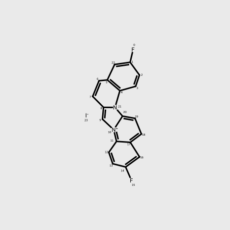 Fc1ccc2c(ccc3c[n+]4c5ccc(F)cc5ccc4n32)c1.[I-]